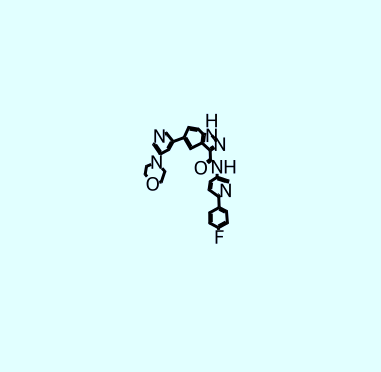 O=C(Nc1ccc(-c2ccc(F)cc2)nc1)c1n[nH]c2ccc(-c3cncc(N4CCOCC4)c3)cc12